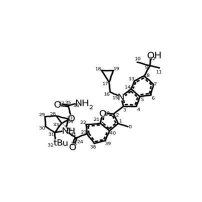 Cc1c(-c2cc3ccc(C(C)(C)O)cc3n2CC2CC2)oc2cc(C(=O)N3CC4CCC3(C(C)(C)C)[C@@H]4OC(N)=O)ccc12